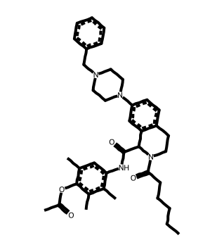 CCCCCC(=O)N1CCc2ccc(N3CCN(Cc4ccccc4)CC3)cc2C1C(=O)Nc1cc(C)c(OC(C)=O)c(C)c1C